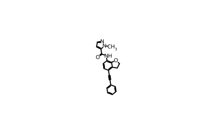 Cn1nccc1C(=O)Nc1ccc(C#Cc2ccccc2)c2c1OCC2